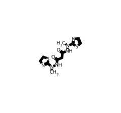 CN(NC(=O)CC(=O)NN(C)c1nccs1)C1=NCCS1